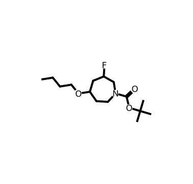 CCCCOC1CCN(C(=O)OC(C)(C)C)CC(F)C1